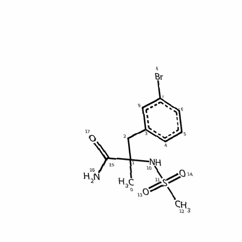 CC(Cc1cc[c]c(Br)c1)(NS(C)(=O)=O)C(N)=O